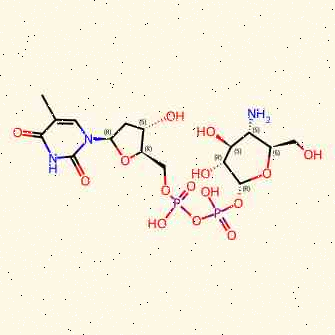 Cc1cn([C@H]2C[C@H](O)[C@@H](COP(=O)(O)OP(=O)(O)O[C@H]3O[C@H](CO)[C@@H](N)[C@H](O)[C@H]3O)O2)c(=O)[nH]c1=O